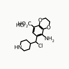 Cl.Nc1c(C(Cl)C2CCNCC2)cc(C(=O)O)c2c1OCCO2